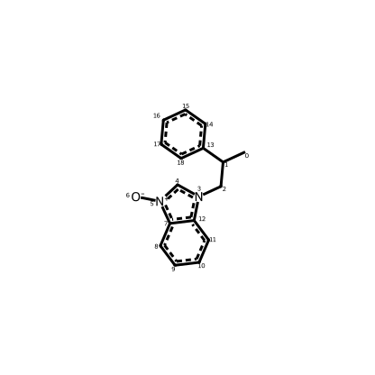 CC(Cn1c[n+]([O-])c2ccccc21)c1ccccc1